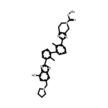 Cc1c(-c2nc3cc(CN4CCCC4)cc(C#N)c3o2)cccc1-c1cccc(-c2nc3c(s2)CN(C(=O)OC(C)(C)C)CC3)c1C